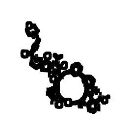 CO[C@@H](C)c1ncccc1-c1c2c3cc(ccc3n1C)-c1cccc(c1)C[C@H](NC(=O)[C@H](C(C)C)N1CCC3(CCN(C(=O)C#CCN4CCOCC4)C3)C1=O)C(=O)N1CCC[C@H](N1)C(=O)OCC(C)(C)C2